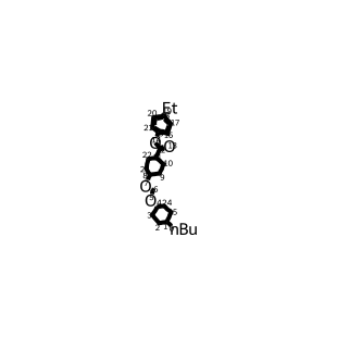 CCCCC1CCC(OCOC2CCC(C(=O)Oc3ccc(CC)cc3)CC2)CC1